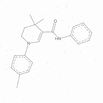 Cc1ccc(N2C=C(C(=O)Nc3ccccc3)C(C)(C)CC2)cc1